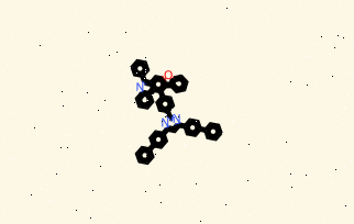 c1ccc(-c2ccc(-c3cc(-c4ccc(-c5ccccc5)cc4)nc(-c4ccc(-c5c6c(cc7c(-c8ccccc8)nc8ccccc8c57)oc5ccccc56)cc4)n3)cc2)cc1